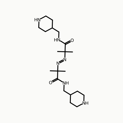 CC(C)(/N=N/C(C)(C)C(=O)NCC1CCNCC1)C(=O)NCC1CCNCC1